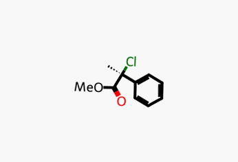 COC(=O)[C@@](C)(Cl)c1ccccc1